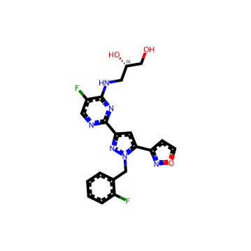 OC[C@@H](O)CNc1nc(-c2cc(-c3ccon3)n(Cc3ccccc3F)n2)ncc1F